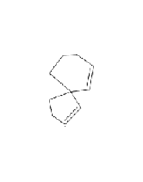 [C]1=CC2(C=CCCC2)CC1